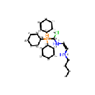 CCCCN/C=C\N[C@H](Cl)[PH](C1CCCCC1)(C1CCCCC1)C1CCCCC1